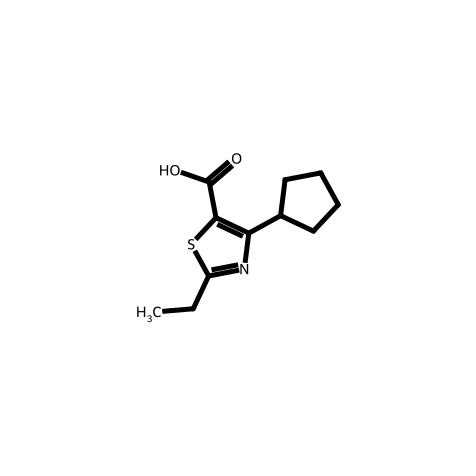 CCc1nc(C2CCCC2)c(C(=O)O)s1